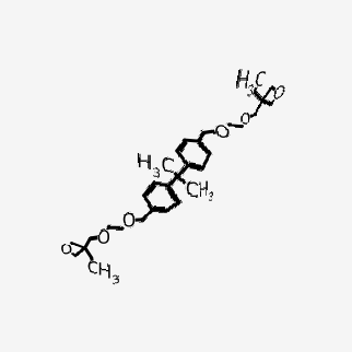 CCC1(COCCOCc2ccc(C(C)(C)c3ccc(COCCOCC4(CC)COC4)cc3)cc2)COC1